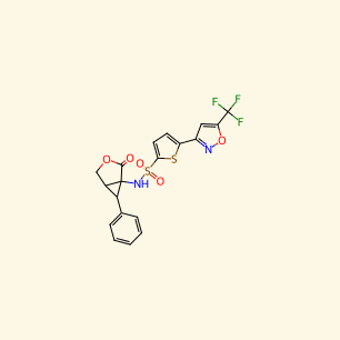 O=C1OCC2C(c3ccccc3)C12NS(=O)(=O)c1ccc(-c2cc(C(F)(F)F)on2)s1